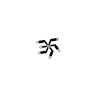 O=[CH][Re]([Cl])([CH]=O)([CH]=O)([CH]=O)[CH]=O